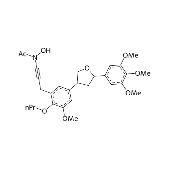 CCCOc1c(CC#CN(O)C(C)=O)cc(C2COC(c3cc(OC)c(OC)c(OC)c3)C2)cc1OC